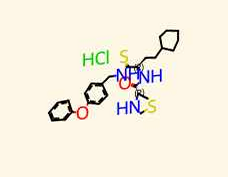 Cl.O=C(N[C@H](CCC1CCCCC1)C(=S)NCc1ccc(Oc2ccccc2)cc1)[C@@H]1CSCN1